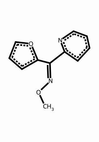 CON=C(c1ccccn1)c1ccco1